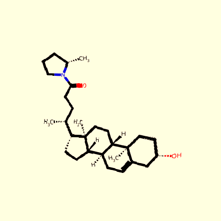 C[C@H](CCC(=O)N1CCC[C@@H]1C)[C@H]1CC[C@H]2[C@@H]3CC=C4C[C@@H](O)CC[C@]4(C)[C@H]3CC[C@]12C